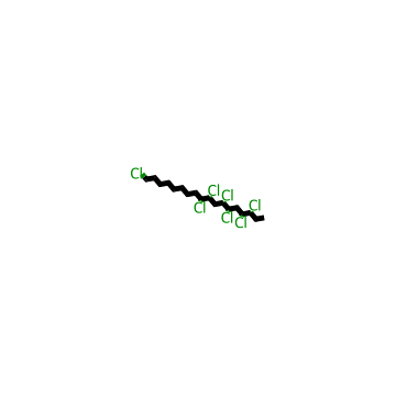 CCC(Cl)C(Cl)CC(Cl)C(Cl)CC(Cl)C(Cl)CCCCCCCCCl